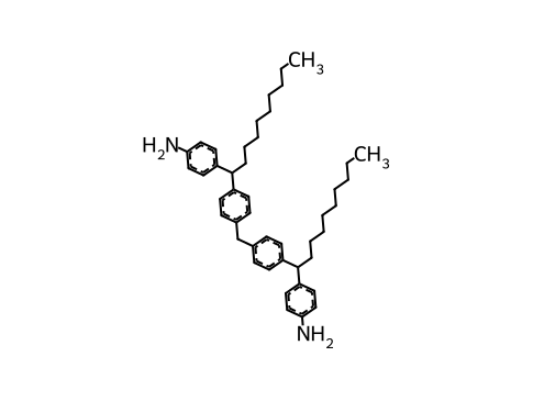 CCCCCCCCCC(c1ccc(N)cc1)c1ccc(Cc2ccc(C(CCCCCCCCC)c3ccc(N)cc3)cc2)cc1